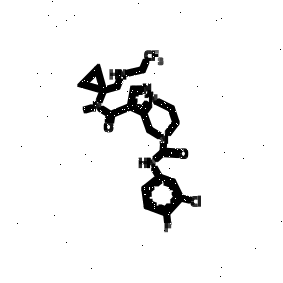 CN(C(=O)c1cnn2c1CN(C(=O)Nc1ccc(F)c(Cl)c1)CC2)C1(CNCC(F)(F)F)CC1